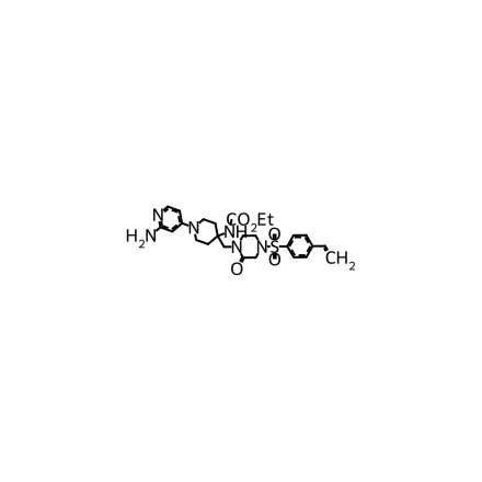 C=Cc1ccc(S(=O)(=O)N2CCN(CC3(NC(=O)OCC)CCN(c4ccnc(N)c4)CC3)C(=O)C2)cc1